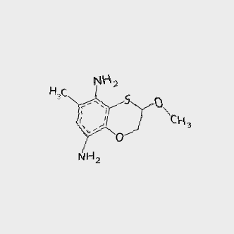 COC1COc2c(N)cc(C)c(N)c2S1